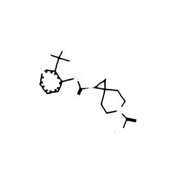 O=C(Nc1cccnc1C(F)(F)F)[C@H]1CC12CCN(C(=O)O)CC2